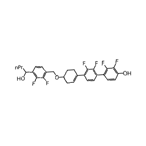 CCCC(O)c1ccc(COC2CC=C(c3ccc(-c4ccc(O)c(F)c4F)c(F)c3F)CC2)c(F)c1F